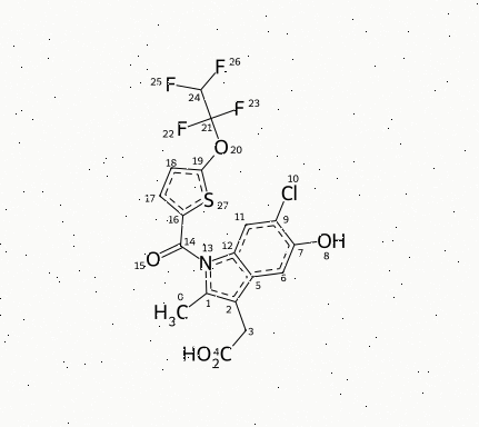 Cc1c(CC(=O)O)c2cc(O)c(Cl)cc2n1C(=O)c1ccc(OC(F)(F)C(F)F)s1